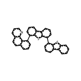 c1cnc2c(c1)ccc1cccc(-c3cccc4c3sc3c(-c5cccc6c5sc5ccccc56)cccc34)c12